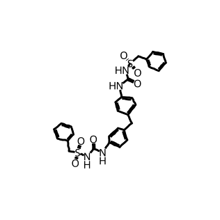 O=C(Nc1ccc(Cc2ccc(NC(=O)NS(=O)(=O)Cc3ccccc3)cc2)cc1)NS(=O)(=O)Cc1ccccc1